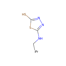 CC(C)CNc1nnc(S)s1